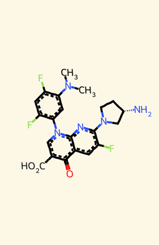 CN(C)c1cc(-n2cc(C(=O)O)c(=O)c3cc(F)c(N4CC[C@H](N)C4)nc32)c(F)cc1F